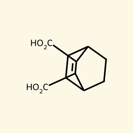 O=C(O)C1=C(C(=O)O)C2CCC1CC2